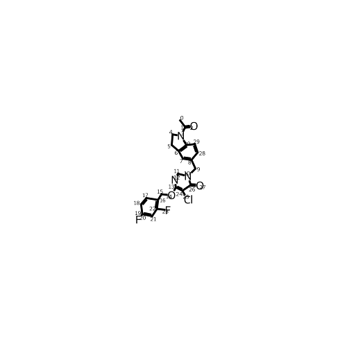 CC(=O)N1CCc2cc(Cn3cnc(OCc4ccc(F)cc4F)c(Cl)c3=O)ccc21